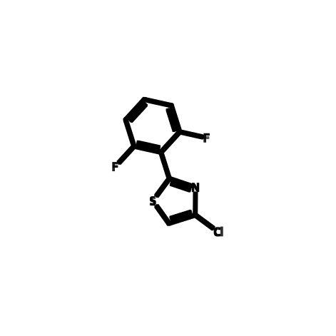 Fc1cccc(F)c1-c1nc(Cl)cs1